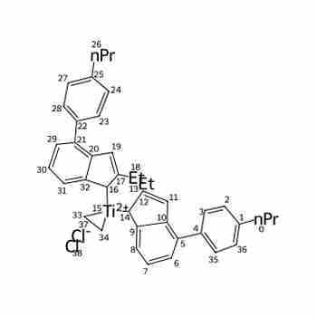 CCCc1ccc(-c2cccc3c2C=C(CC)[CH]3[Ti+2]2([CH]3C(CC)=Cc4c(-c5ccc(CCC)cc5)cccc43)[CH2][CH2]2)cc1.[Cl-].[Cl-]